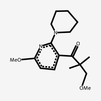 COCC(C)(C)C(=O)c1ccc(OC)nc1N1CCCCC1